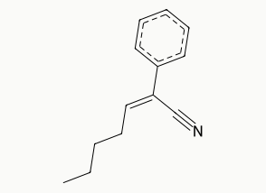 CCCCC=C(C#N)c1ccccc1